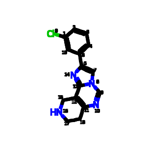 Clc1cccc(-c2cn3cnc4c(c3n2)CNCC4)c1